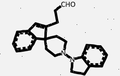 O=CCCC1=Cc2ccccc2C12CCN(N1CCc3ccccc31)CC2